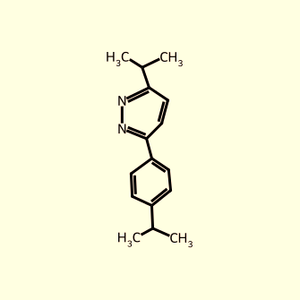 CC(C)c1ccc(-c2ccc(C(C)C)nn2)cc1